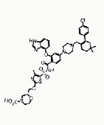 Cc1nc(OC[C@@H]2CN(C(=O)O)CCO2)sc1S(=O)(=O)NC(=O)c1ccc(N2CCN(CC3=C(c4ccc(Cl)cc4)CC(C)(C)CC3)CC2)cc1Oc1cccc2[nH]cnc12